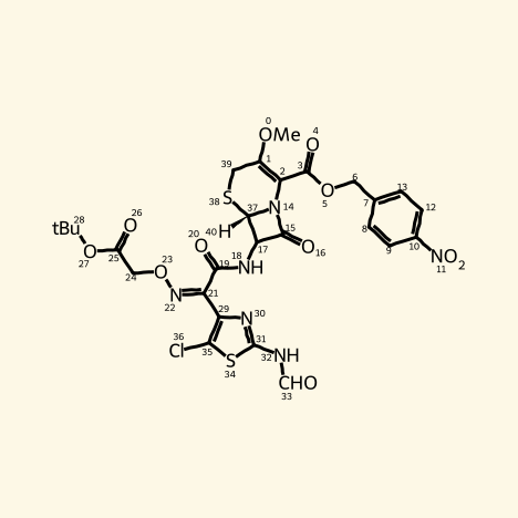 COC1=C(C(=O)OCc2ccc([N+](=O)[O-])cc2)N2C(=O)C(NC(=O)/C(=N\OCC(=O)OC(C)(C)C)c3nc(NC=O)sc3Cl)[C@@H]2SC1